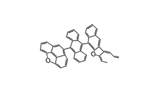 C=C/C=c1\c(=C/C)oc2c(-c3c4ccccc4c(-c4cc5cccc6oc7cccc4c7c56)c4ccccc34)c3ccccc3cc12